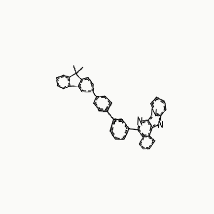 CC1(C)c2ccccc2-c2cc(-c3ccc(-c4cccc(-c5nc6c(nc7ccccn76)c6ccccc56)c4)cc3)ccc21